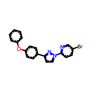 Brc1ccc(-n2ccc(-c3ccc(Oc4ccccc4)cc3)n2)nc1